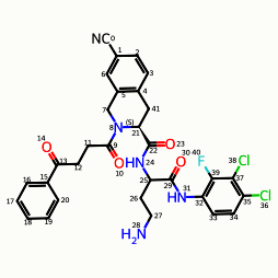 N#Cc1ccc2c(c1)CN(C(=O)CCC(=O)c1ccccc1)[C@H](C(=O)NC(CCN)C(=O)Nc1ccc(Cl)c(Cl)c1F)C2